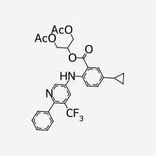 CC(=O)OCC(COC(C)=O)OC(=O)c1cc(C2CC2)ccc1Nc1cnc(-c2ccccc2)c(C(F)(F)F)c1